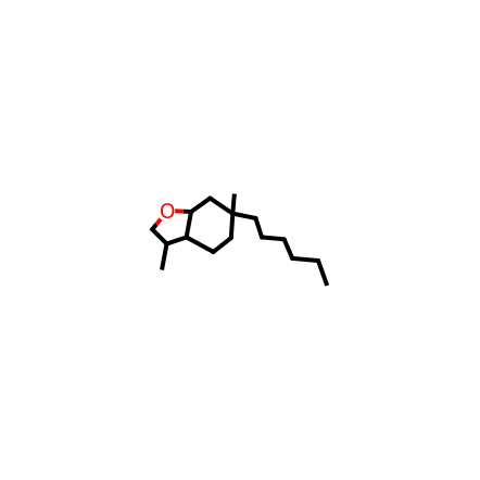 CCCCCCC1(C)CCC2C(C)COC2C1